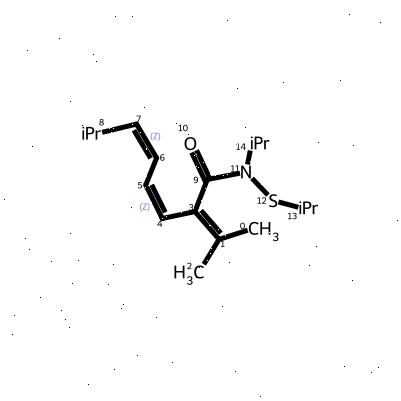 CC(C)=C(/C=C\C=C/C(C)C)C(=O)N(SC(C)C)C(C)C